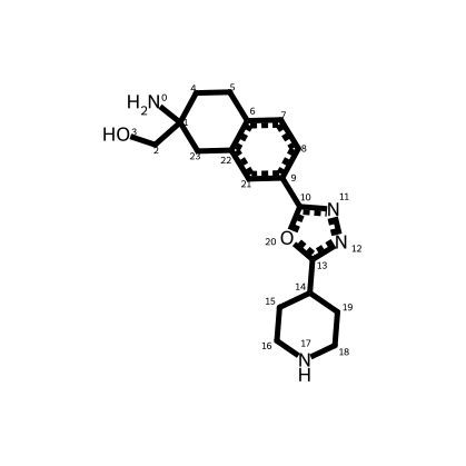 NC1(CO)CCc2ccc(-c3nnc(C4CCNCC4)o3)cc2C1